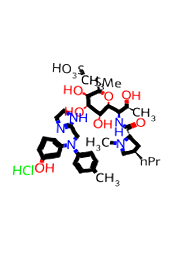 CCC[C@@H]1C[C@@H](C(=O)N[C@@H]([C@H]2O[C@H](SC)[C@H](O)[C@@H](O)[C@H]2O)[C@@H](C)O)N(C)C1.CS(=O)(=O)O.Cc1ccc(N(CC2=NCCN2)c2cccc(O)c2)cc1.Cl